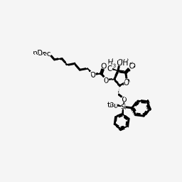 CCCCCCCCCCCCCCCCOC(=O)O[C@@H]1[C@@H](CO[Si](c2ccccc2)(c2ccccc2)C(C)(C)C)OC(=O)[C@@]1(C)O